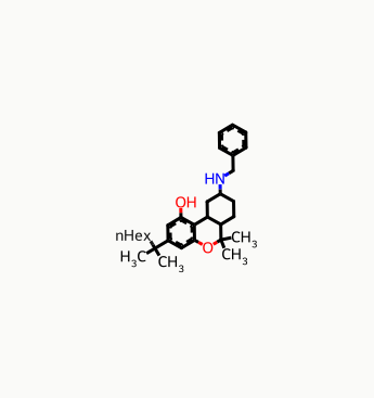 CCCCCCC(C)(C)c1cc(O)c2c(c1)OC(C)(C)C1CCC(NCc3ccccc3)CC21